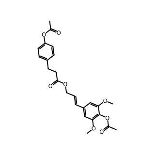 COc1cc(/C=C/COC(=O)CCc2ccc(OC(C)=O)cc2)cc(OC)c1OC(C)=O